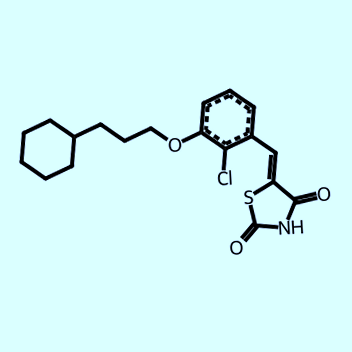 O=C1NC(=O)C(=Cc2cccc(OCCCC3CCCCC3)c2Cl)S1